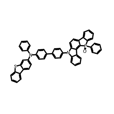 O=P1(c2ccccc2)c2ccccc2-c2ccc3c(c21)c1ccccc1n3-c1ccc(-c2ccc(N(c3ccccc3)c3ccc4c(c3)sc3ccccc34)cc2)cc1